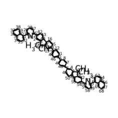 CC1(C)c2cc(-c3ccc(-c4ccc(-c5ccc6c(c5)C(C)(C)c5cc(-c7cccc(-c8cccc9ccccc89)n7)ccc5-6)cc4)cc3)ccc2-c2ccc(-c3cccc(-c4cccc5ccccc45)n3)cc21